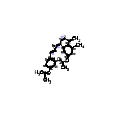 C=C(\C=C/C=N/C=C/c1ccc(OC(C)C)cc1)c1ccc(OC(C)C)cc1C